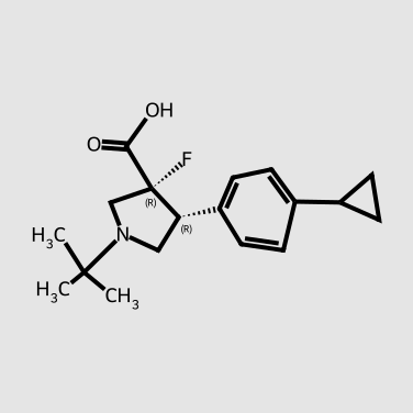 CC(C)(C)N1C[C@@H](c2ccc(C3CC3)cc2)[C@](F)(C(=O)O)C1